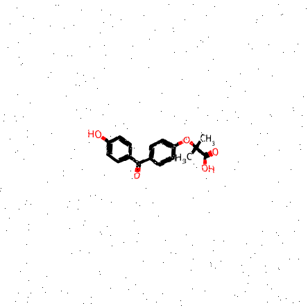 CC(C)(Oc1ccc(C(=O)c2ccc(O)cc2)cc1)C(=O)O